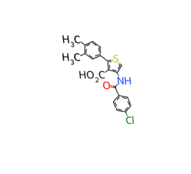 Cc1ccc(-c2scc(NC(=O)c3ccc(Cl)cc3)c2C(=O)O)cc1C